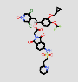 O=C(CN1C(=O)c2ccc(NS(=O)(=O)CCc3ccccn3)cc2C1=O)O[C@@H](Cc1c(Cl)c[n+]([O-])cc1Cl)c1ccc(OC(F)F)c(OCC2CC2)c1